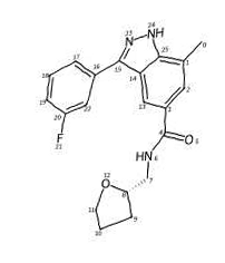 Cc1cc(C(=O)NC[C@@H]2CCCO2)cc2c(-c3cccc(F)c3)n[nH]c12